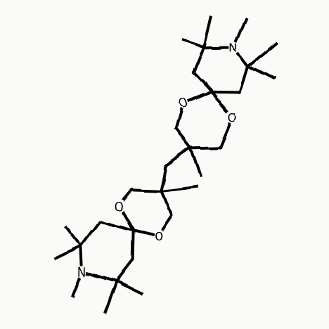 CN1C(C)(C)CC2(CC1(C)C)OCC(C)(CC1(C)COC3(CC(C)(C)N(C)C(C)(C)C3)OC1)CO2